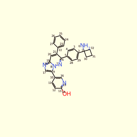 NC1(c2ccc(-c3nn4c(-c5ccc(O)nc5)cnc4cc3-c3ccccc3)cc2)CCC1